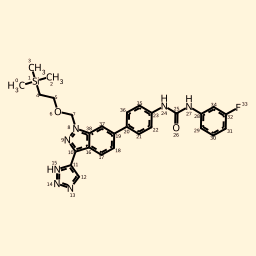 C[Si](C)(C)CCOCn1nc(-c2cnn[nH]2)c2ccc(-c3ccc(NC(=O)Nc4cccc(F)c4)cc3)cc21